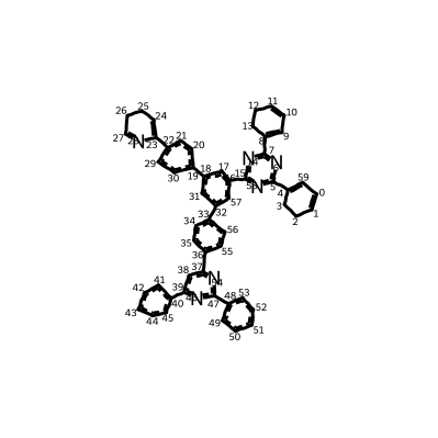 C1=CCCC(c2nc(C3=CC=CCC3)nc(-c3cc(-c4ccc(C5=CCCC=N5)cc4)cc(-c4ccc(-c5cc(-c6ccccc6)nc(-c6ccccc6)n5)cc4)c3)n2)=C1